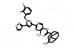 Nc1nc(-c2cc(-c3ccon3)n(Cc3cccc(F)c3F)n2)ncc1NC(=O)C12CC3CC(CC(O)(C3)C1)C2